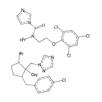 CC(C)C1CCC(Cc2ccc(Cl)cc2)C1(O)Cn1cncn1.CCCN(CCOc1c(Cl)cc(Cl)cc1Cl)C(=O)n1ccnc1